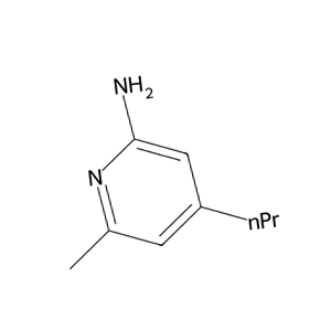 CCCc1cc(C)nc(N)c1